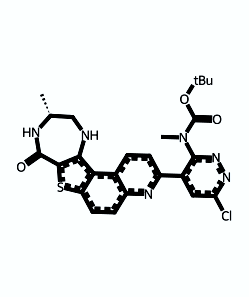 C[C@@H]1CNc2c(sc3ccc4nc(-c5cc(Cl)nnc5N(C)C(=O)OC(C)(C)C)ccc4c23)C(=O)N1